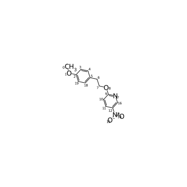 COc1ccc(CCOc2ccc([N+](=O)[O-])cn2)cc1